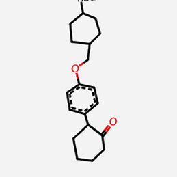 CCCCC1CCC(COc2ccc(C3CCCCC3=O)cc2)CC1